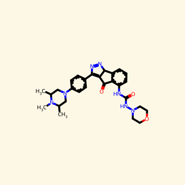 CC1CN(c2ccc(C3=C4C(=O)c5c(NC(=O)NN6CCOCC6)cccc5C4N=N3)cc2)CC(C)N1C